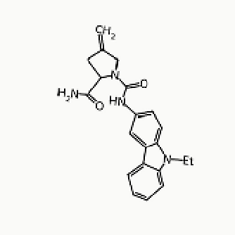 C=C1CC(C(N)=O)N(C(=O)Nc2ccc3c(c2)c2ccccc2n3CC)C1